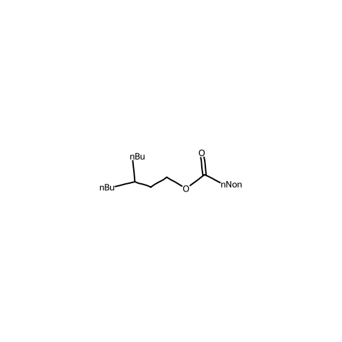 CCCCCCCCCC(=O)OCCC(CCCC)CCCC